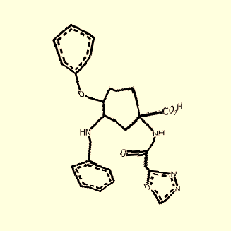 O=C(NC1(C(=O)O)CCC(Oc2ccccc2)C(Nc2ccccc2)C1)c1nnco1